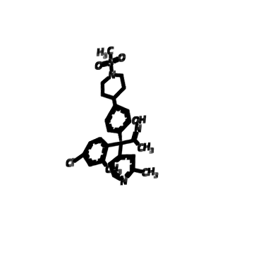 C/C(=N/O)[C@](c1ccc(C2CCN(S(C)(=O)=O)CC2)cc1)(c1ccnc(C)c1)c1ccc(Cl)cc1C